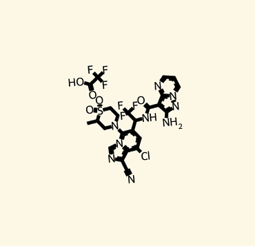 CC1CN(c2c(C(NC(=O)c3c(N)nn4cccnc34)C(F)(F)F)cc(Cl)c3c(C#N)ncn23)CCS1(=O)=O.O=C(O)C(F)(F)F